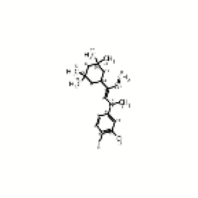 C=N/C(=C\N(C)c1ccc(F)c(Cl)c1)C1CC(C)(C)CC(C)(C)C1